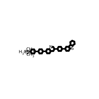 C[Si](C)(C)c1ccc(-c2ccc(-c3ccc4cc(-c5ccc(-c6ccc7sc8ccccc8c7c6)cc5)cnc4c3)cc2)cc1